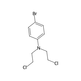 ClCCN(CCCl)c1ccc(Br)cc1